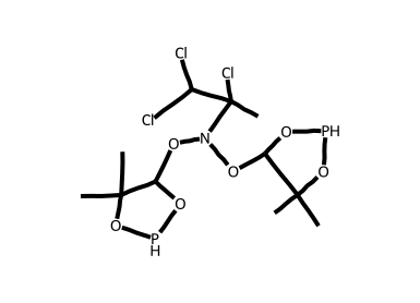 CC1(C)OPOC1ON(OC1OPOC1(C)C)C(C)(Cl)C(Cl)Cl